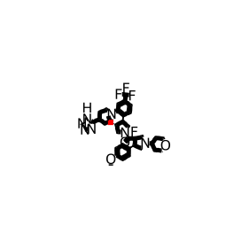 CC[C@H]1CN(C(=O)[C@]2(F)CN(C3CCOCC3)C[C@H]2c2ccc(OC)cc2)C[C@@H]1c1ccc(C(F)(F)F)cc1N1CCC(c2nnn[nH]2)CC1